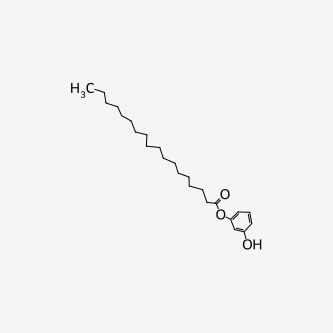 CCCCCCCCCCCCCCCCCC(=O)Oc1cccc(O)c1